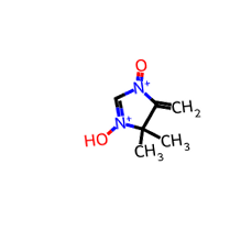 C=C1[N+](=O)C=[N+](O)C1(C)C